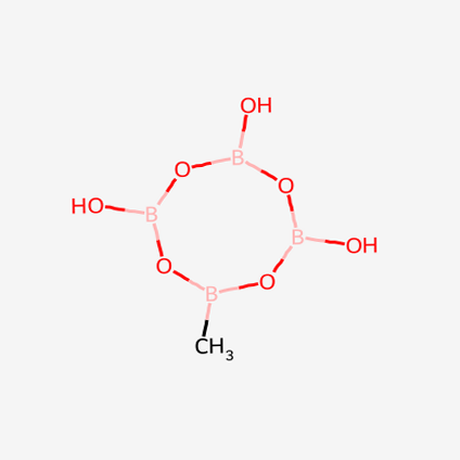 CB1OB(O)OB(O)OB(O)O1